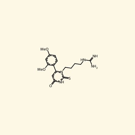 COc1ccc(-c2cc(=O)[nH]c(=S)n2CCCCNC(=N)N)c(OC)c1